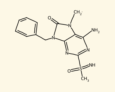 [CH2]n1c(=O)n(Cc2ccccc2)c2nc(S(C)(=N)=O)nc(N)c21